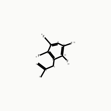 C=C(C)Cc1c(F)c(F)cc(F)c1F